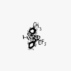 Cc1ccc(S(=O)(=O)c2[nH]c3ccccc3c2C(=O)C(F)(F)F)cc1